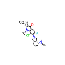 CC(=O)N(C)C1C=CCC2CN(c3c(F)cc4c(=O)c(C(=O)O)cn(C5CC5)c4c3Cl)CC21